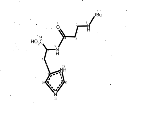 CC(C)(C)NCCC(=O)NC(Cc1cnc[nH]1)C(=O)O